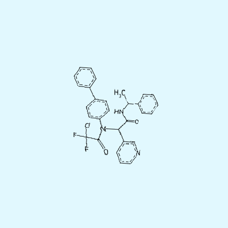 CC(NC(=O)C(c1cccnc1)N(C(=O)C(F)(F)Cl)c1ccc(-c2ccccc2)cc1)c1ccccc1